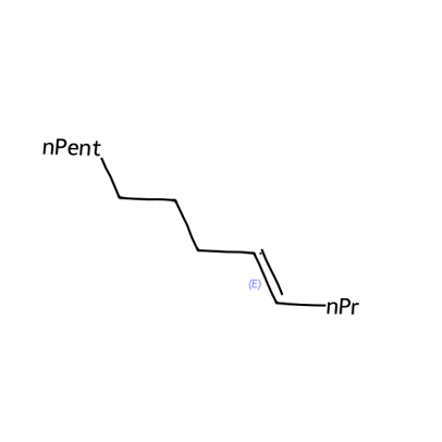 CCC/C=[C]/CCCCCCCC